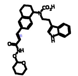 O=C(/C=C/c1ccc2c(c1)CCCC2N(CCc1c[nH]c2ccccc12)C(=O)O)NOC1CCCCO1